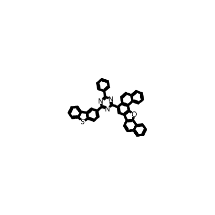 c1ccc(-c2nc(-c3ccc4sc5ccccc5c4c3)nc(-c3cc4c5ccc6ccccc6c5oc4c4c3ccc3ccccc34)n2)cc1